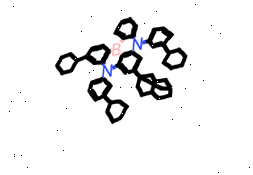 c1cc(C2CCCCC2)cc(N2c3ccccc3B3c4ccc(C5CCCCC5)cc4N(c4cccc(C5CCCCC5)c4)c4cc(C56CCC7CCC(CC7C5)C6)cc2c43)c1